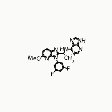 COc1ccc2nc([C@H](C)Nc3ncnc4[nH]cnc34)n(-c3cc(F)cc(F)c3)c2n1